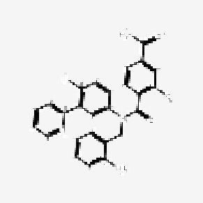 NC(=O)c1ccc(C(=O)N(Cc2ccccc2N)c2ccc(Cl)c(-c3ccccn3)c2)c(Cl)c1